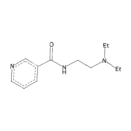 CCN(CC)CCNC(=O)c1cccnc1